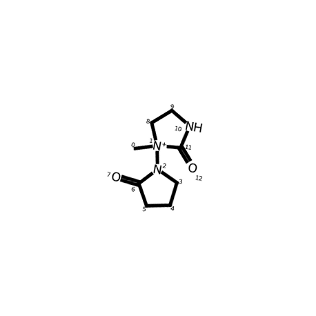 C[N+]1(N2CCCC2=O)CCNC1=O